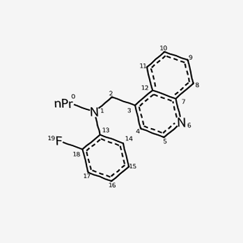 CCCN(Cc1ccnc2ccccc12)c1ccccc1F